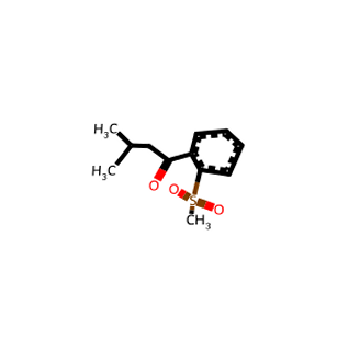 CC(C)CC(=O)c1ccccc1S(C)(=O)=O